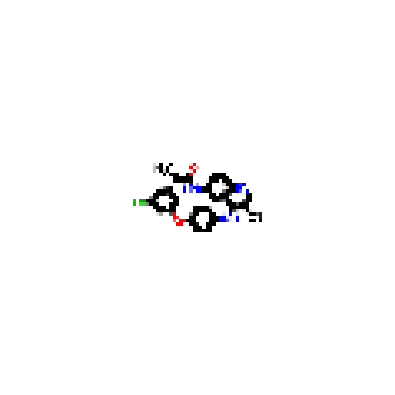 C=CC(=O)Nc1ccc2ncc(C#N)c(Nc3ccc(Oc4cccc(Cl)c4)cc3)c2c1